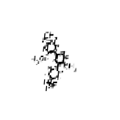 COc1ncc(-c2cc(N3CCC(C(F)(F)F)CC3)c(C)nn2)c(OC)n1